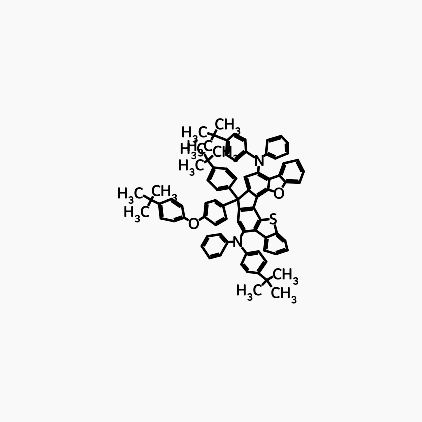 CC(C)(C)c1ccc(Oc2ccc(C3(c4ccc(C(C)(C)C)cc4)c4cc(N(c5ccccc5)c5ccc(C(C)(C)C)cc5)c5c(oc6ccccc65)c4-c4c3cc(N(c3ccccc3)c3ccc(C(C)(C)C)cc3)c3c4sc4ccccc43)cc2)cc1